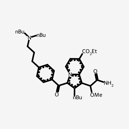 CCCCc1c(C(OC)C(N)=O)c2cc(C(=O)OCC)ccn2c1C(=O)c1ccc(CCCN(CCCC)CCCC)cc1